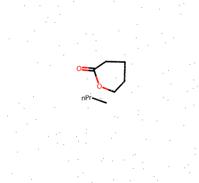 CCCC.O=C1CCCCO1